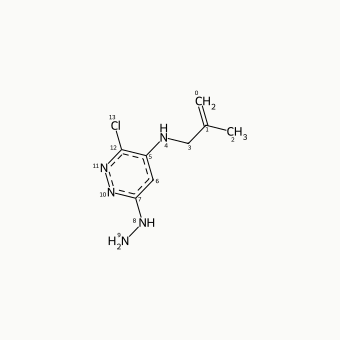 C=C(C)CNc1cc(NN)nnc1Cl